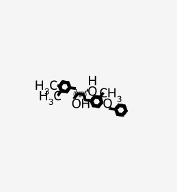 Cc1ccc(C[C@@H](CO)[C@H](CO)Cc2ccc(OCc3ccccc3)c(C)c2)cc1C